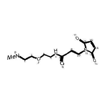 CNCCOCCNC(=O)CCN1C(=O)C=CC1=O